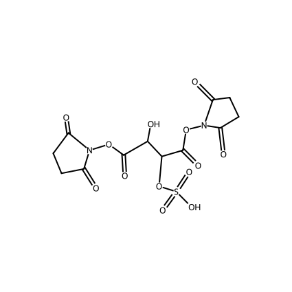 O=C(ON1C(=O)CCC1=O)C(O)C(OS(=O)(=O)O)C(=O)ON1C(=O)CCC1=O